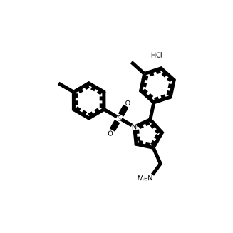 CNCc1cc(-c2cccc(C)c2)n(S(=O)(=O)c2ccc(C)cc2)c1.Cl